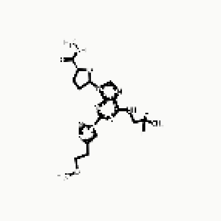 CNC(=O)[C@@H]1CCC(n2cnc3c(NCC(C)(F)F)nc(-n4cc(CCOC)nn4)nc32)O1